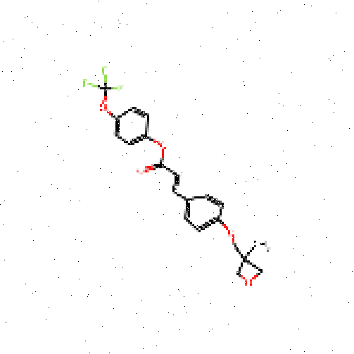 CC1(COc2ccc(/C=C/C(=O)Oc3ccc(OC(F)(F)F)cc3)cc2)COC1